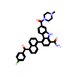 CN1CCN(C(=O)c2ccc3c(c2)[nH]c2c(C(N)=O)ccc(-c4cccc5c(C(=O)c6ccc(F)cc6)cccc45)c23)CC1